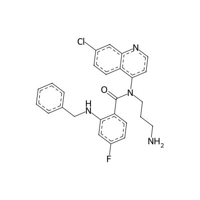 NCCCN(C(=O)c1ccc(F)cc1NCc1ccccc1)c1ccnc2cc(Cl)ccc12